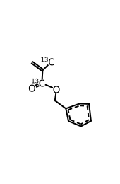 C=C([13CH3])[13C](=O)OCc1ccccc1